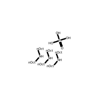 CCCCCCCCNCCCCCCCC.CCCCCCCCNCCCCCCCC.CCCCCCCCNCCCCCCCC.O=P(O)(O)O